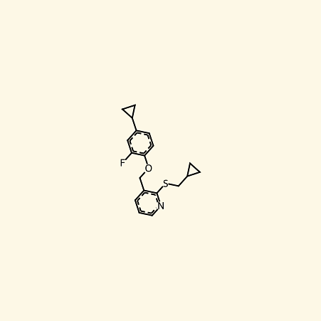 Fc1cc(C2CC2)ccc1OCc1cccnc1SCC1CC1